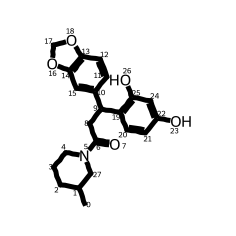 CC1CCCN(C(=O)CC(c2ccc3c(c2)OCO3)c2ccc(O)cc2O)C1